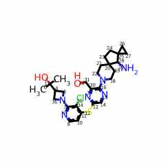 CC(C)(O)C1CN(c2nccc(Sc3cnc(N4CCC5(CC4)CCC4(CC4)C5N)c(CO)n3)c2Cl)C1